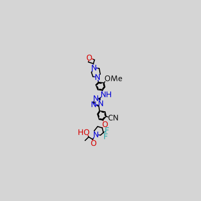 COc1cc(Nc2ncnc(-c3ccc(OC4CCN(C(=O)C(C)O)CC4(F)F)c(C#N)c3)n2)ccc1N1CCN(C2COC2)CC1